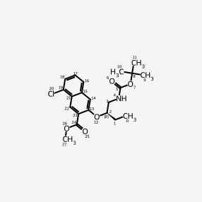 CC[C@H](CNC(=O)OC(C)(C)C)Oc1cc2cccc(Cl)c2cc1C(=O)OC